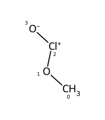 CO[Cl+][O-]